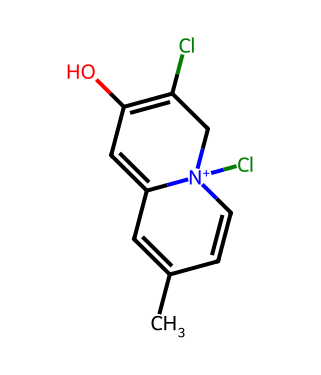 CC1=CC2=CC(O)=C(Cl)C[N+]2(Cl)C=C1